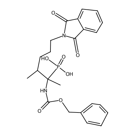 CC(CCCN1C(=O)c2ccccc2C1=O)C(C)(NC(=O)OCc1ccccc1)P(=O)(O)O